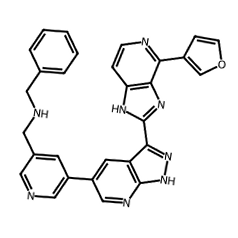 c1ccc(CNCc2cncc(-c3cnc4[nH]nc(-c5nc6c(-c7ccoc7)nccc6[nH]5)c4c3)c2)cc1